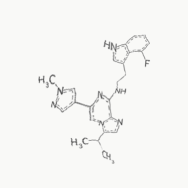 CC(C)c1cnc2c(NCCc3c[nH]c4cccc(F)c34)nc(-c3cnn(C)c3)cn12